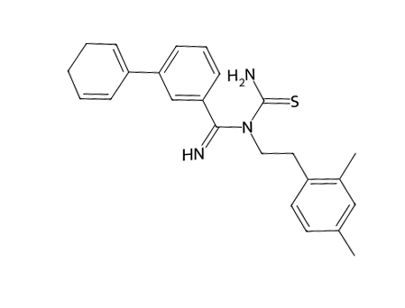 Cc1ccc(CCN(C(=N)c2cccc(C3=CCCC=C3)c2)C(N)=S)c(C)c1